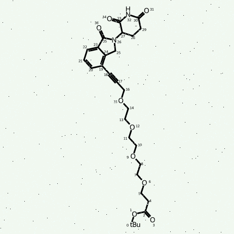 CC(C)(C)OC(=O)CCOCCOCCOCCOCC#Cc1cccc2c1CN(C1CCC(=O)NC1=O)C2=O